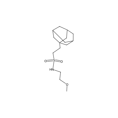 COCCNS(=O)(=O)CCC12CC3CC(CC(C3)C1)C2